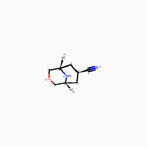 N#C[C@@H]1C[C@H]2COC[C@@H](C1)N2